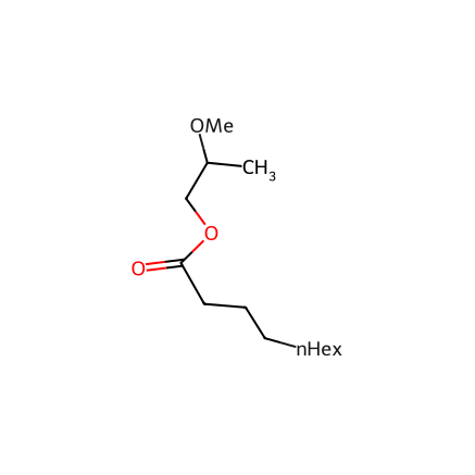 CCCCCCCCCC(=O)OCC(C)OC